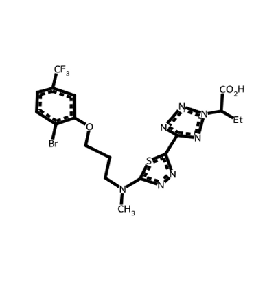 CCC(C(=O)O)n1nnc(-c2nnc(N(C)CCCOc3cc(C(F)(F)F)ccc3Br)s2)n1